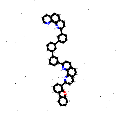 c1cc(-c2cccc(-c3ccc4ccc5cccnc5c4n3)c2)cc(-c2cccc(-c3ccc4ccc5ccc(-c6cccc7c6oc6ccccc67)nc5c4n3)c2)c1